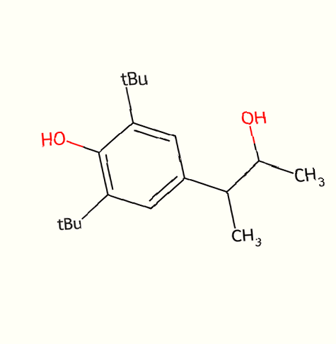 CC(O)C(C)c1cc(C(C)(C)C)c(O)c(C(C)(C)C)c1